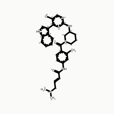 Cc1cc(NC(=O)/C=C/CN(C)C)ccc1C(=O)N1CCCC(Nc2ncc(Cl)c(-c3c[nH]c4ccccc34)n2)C1